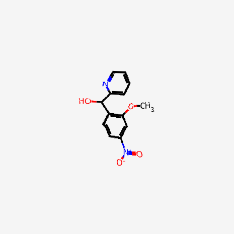 COc1cc([N+](=O)[O-])ccc1C(O)c1ccccn1